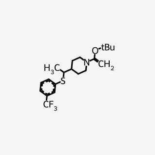 C=C(OC(C)(C)C)N1CCC(C(C)Sc2cccc(C(F)(F)F)c2)CC1